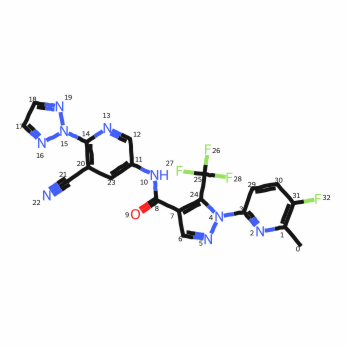 Cc1nc(-n2ncc(C(=O)Nc3cnc(-n4nccn4)c(C#N)c3)c2C(F)(F)F)ccc1F